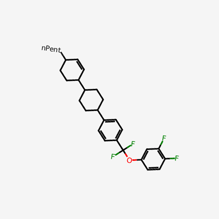 CCCCCC1C=CC(C2CCC(c3ccc(C(F)(F)Oc4ccc(F)c(F)c4)cc3)CC2)CC1